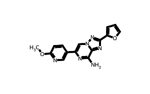 COc1ccc(-c2cn3nc(-c4ccco4)nc3c(N)n2)cn1